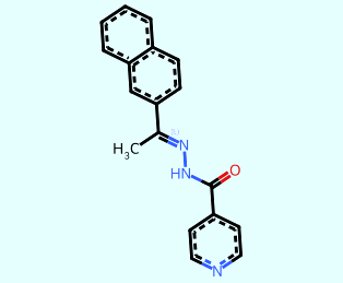 C/C(=N\NC(=O)c1ccncc1)c1ccc2ccccc2c1